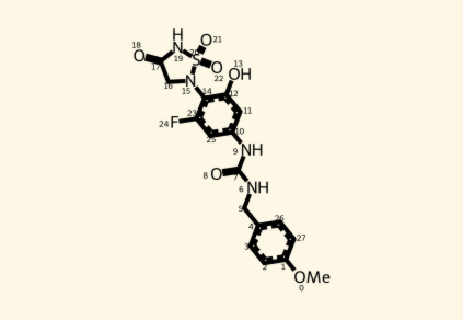 COc1ccc(CNC(=O)Nc2cc(O)c(N3CC(=O)NS3(=O)=O)c(F)c2)cc1